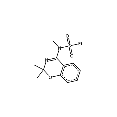 CCS(=O)(=O)N(C)C1=NC(C)(C)Oc2ccccc21